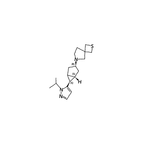 CC(C)n1nccc1[C@H]1C2C[C@@H](N3CCC4(CSC4)C3)C[C@@H]21